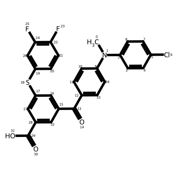 CN(c1ccc(Cl)cc1)c1ccc(C(=O)c2cc(Sc3ccc(F)c(F)c3)cc(C(=O)O)c2)cc1